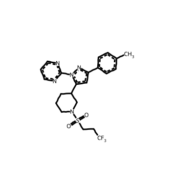 Cc1ccc(-c2cc(C3CCCN(S(=O)(=O)CCC(F)(F)F)C3)n(-c3ncccn3)n2)cc1